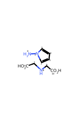 Nn1cccc1.O=C(O)CNCC(=O)O